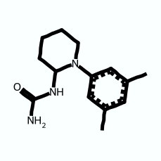 Cc1cc(C)cc(N2CCCCC2NC(N)=O)c1